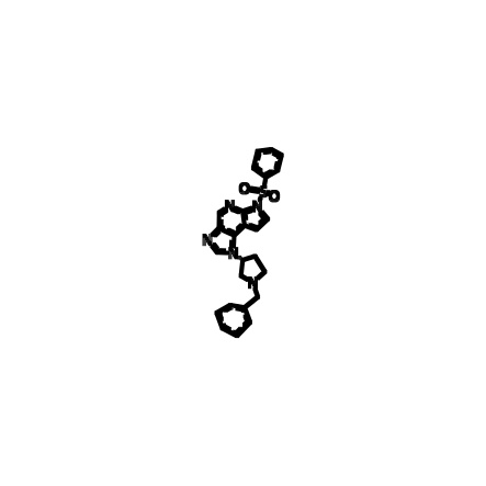 O=S(=O)(c1ccccc1)n1ccc2c3c(cnc21)ncn3[C@@H]1CCN(Cc2ccccc2)C1